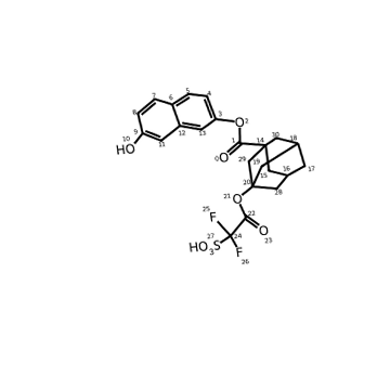 O=C(Oc1ccc2ccc(O)cc2c1)C12CC3CC(CC(OC(=O)C(F)(F)S(=O)(=O)O)(C3)C1)C2